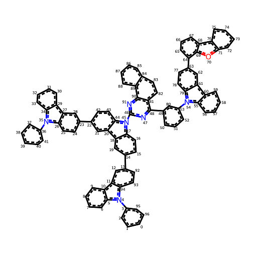 c1ccc(-n2c3ccccc3c3cc(-c4ccc5c(c4)c4cc(-c6ccc7c(c6)c6ccccc6n7-c6ccccc6)ccc4n5-c4nc(-c5cccc(-n6c7ccccc7c7cc(-c8cccc9c8oc8ccccc89)ccc76)c5)c5ccc6ccccc6c5n4)ccc32)cc1